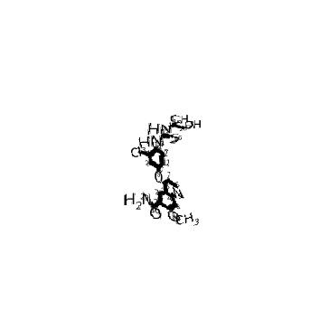 COc1cc2nccc(Oc3ccc(NC(=S)NC(C)CO)c(Cl)c3)c2cc1C(N)=O